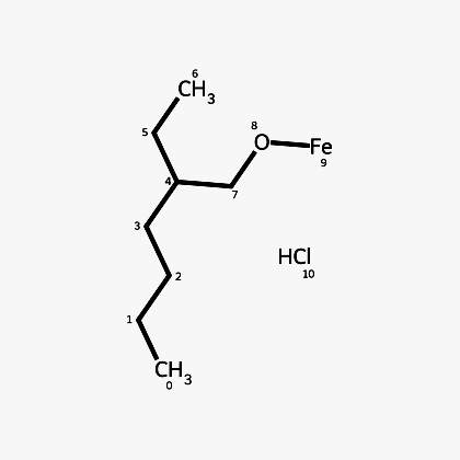 CCCCC(CC)C[O][Fe].Cl